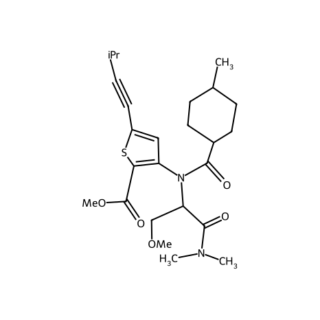 COCC(C(=O)N(C)C)N(C(=O)C1CCC(C)CC1)c1cc(C#CC(C)C)sc1C(=O)OC